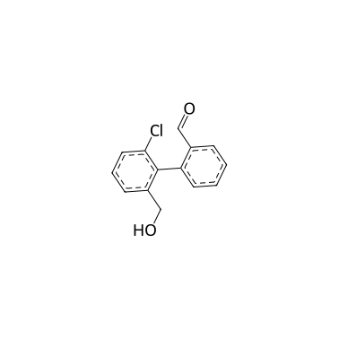 O=Cc1ccccc1-c1c(Cl)cccc1CO